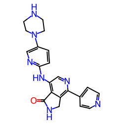 O=C1NCc2c(-c3ccncc3)ncc(Nc3ccc(N4CCNCC4)cn3)c21